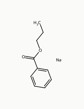 CCCOC(=O)c1ccccc1.[Na]